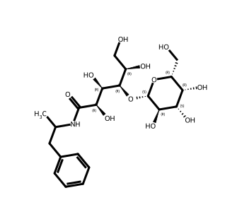 CC(Cc1ccccc1)NC(=O)[C@H](O)[C@@H](O)[C@H](O[C@@H]1O[C@H](CO)[C@H](O)[C@H](O)[C@H]1O)[C@H](O)CO